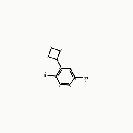 CC(C)(C)c1ccc(Br)c(C2CCC2)c1